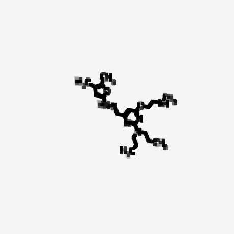 CCCN(CCC)c1nc(/C=N/Nc2cc(C)c(C)o2)cc(OCCNC)n1